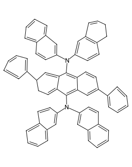 C1=Cc2cc(N(c3ccc4ccccc4c3)c3c4c(c(N(c5ccc6ccccc6c5)c5ccc6ccccc6c5)c5cc(-c6ccccc6)ccc35)=CCC(c3ccccc3)C=4)ccc2CC1